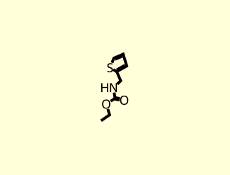 CCOC(=O)NCc1cccs1